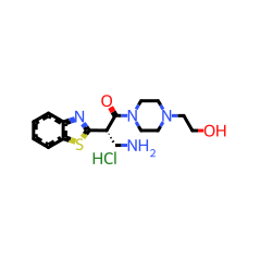 Cl.NC[C@@H](C(=O)N1CCN(CCO)CC1)c1nc2ccccc2s1